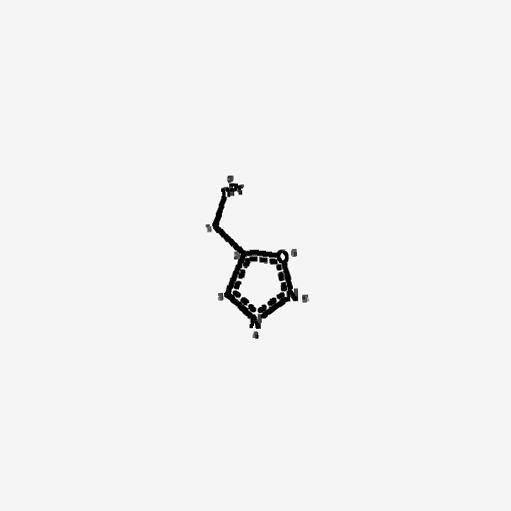 [CH2]CCCc1cnno1